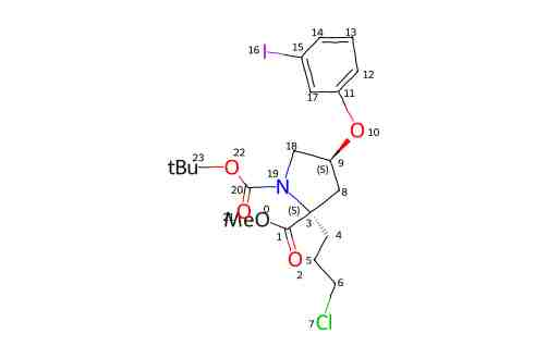 COC(=O)[C@]1(CCCCl)C[C@H](Oc2cccc(I)c2)CN1C(=O)OC(C)(C)C